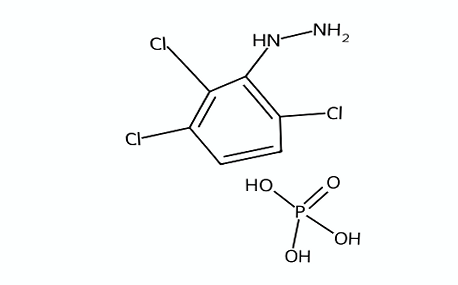 NNc1c(Cl)ccc(Cl)c1Cl.O=P(O)(O)O